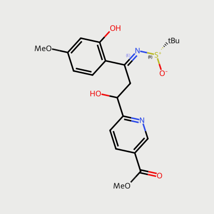 COC(=O)c1ccc(C(O)C/C(=N\[S@@+]([O-])C(C)(C)C)c2ccc(OC)cc2O)nc1